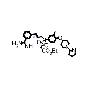 CCOC(=O)CS(=O)(=O)N(C/C=C/c1cccc(C(=N)N)c1)c1ccc(OC2CCN(C3=NCCC3)CC2)c(C)c1